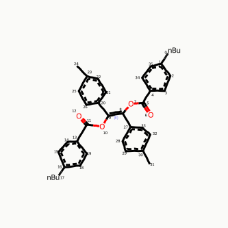 CCCCc1ccc(C(=O)O/C(=C(/OC(=O)c2ccc(CCCC)cc2)c2ccc(C)cc2)c2ccc(C)cc2)cc1